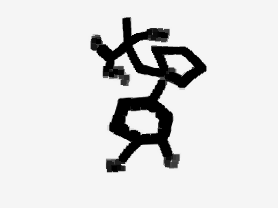 CC(O)(C[N+]1(c2ccc(C#N)c(Cl)c2)CCCC1)C(N)=O